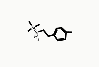 Cc1ccc(CC[SiH2][Si](C)(C)C)cc1